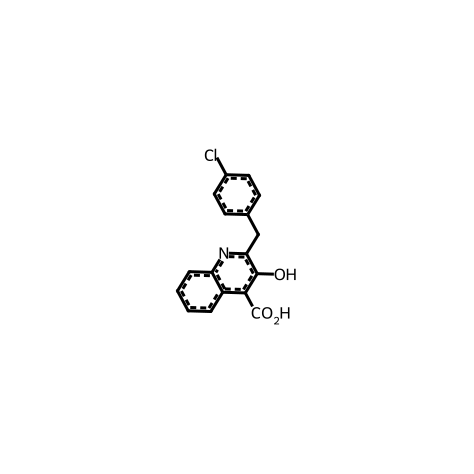 O=C(O)c1c(O)c(Cc2ccc(Cl)cc2)nc2ccccc12